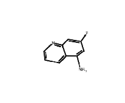 Nc1cc(F)cc2ncccc12